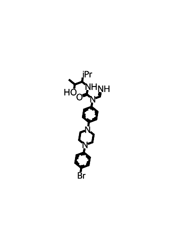 CC(C)C(NC(=O)N(C=N)c1ccc(N2CCN(c3ccc(Br)cc3)CC2)cc1)C(C)O